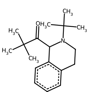 CC(C)(C)C(=O)C1c2ccccc2CCN1C(C)(C)C